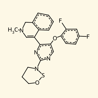 CN1C=C(c2nc(N3CCCOS3)ncc2Oc2ccc(F)cc2F)c2ccccc2C1